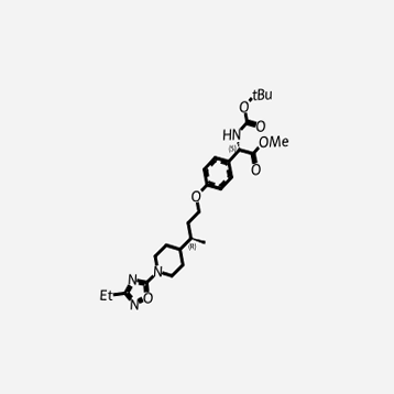 CCc1noc(N2CCC([C@H](C)CCOc3ccc([C@H](NC(=O)OC(C)(C)C)C(=O)OC)cc3)CC2)n1